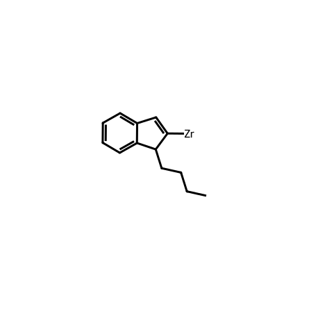 CCCCC1[C]([Zr])=Cc2ccccc21